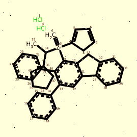 Cl.Cl.[CH2]=[Zr]([C]1=CC=CC1)([c]1c2c(cc(-c3ccccc3)c1-c1ccccc1)-c1ccccc1C2)[CH](C)C1CCCC1